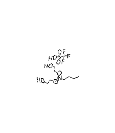 CCCCN(OCCO)OCCO.O=S(=O)(O)C(F)(F)F